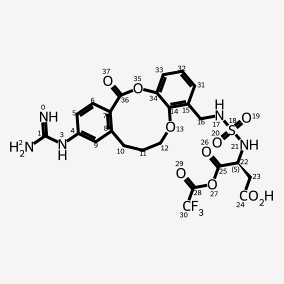 N=C(N)Nc1ccc2c(c1)CCCOc1c(CNS(=O)(=O)N[C@@H](CC(=O)O)C(=O)OC(=O)C(F)(F)F)cccc1OC2=O